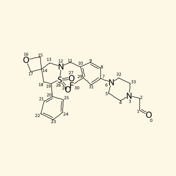 O=CCN1CCN(c2ccc(CN3CC4(COC4)CC(c4ccccc4)S3(=O)=O)c(F)c2)CC1